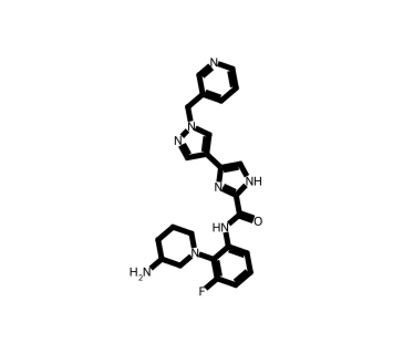 NC1CCCN(c2c(F)cccc2NC(=O)c2nc(-c3cnn(Cc4cccnc4)c3)c[nH]2)C1